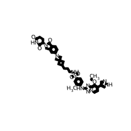 CCOc1c(-c2cn[nH]c2)ccn2nc(Nc3ccc(S(=O)(=O)NCCCC4CC5(C4)CN(c4ccc6c(c4)CN(C4CCC(=O)NC4=O)C6=O)C5)cc3C)nc12